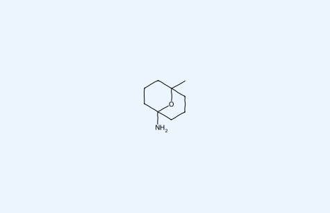 CC12CCCC(N)(CCC1)O2